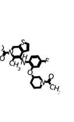 CC(=O)N1CCCC(Oc2cc(F)ccc2NC2=C(C)N(C(=O)O)Cc3sccc32)C1